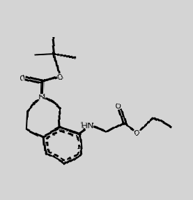 CCOC(=O)CNc1cccc2c1CN(C(=O)OC(C)(C)C)CC2